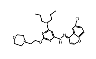 CCCN(CCC)c1cc(N/N=c2\ccoc3ccc(Cl)cc23)nc(OCCN2CCOCC2)n1